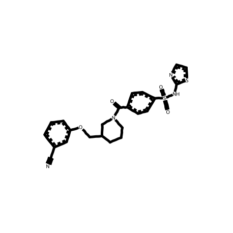 N#Cc1cccc(OCC2CCCN(C(=O)c3ccc(S(=O)(=O)Nc4nccs4)cc3)C2)c1